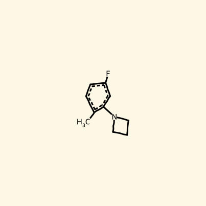 Cc1ccc(F)cc1N1CCC1